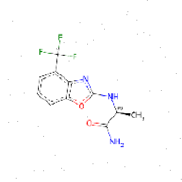 C[C@H](Nc1nc2c(C(F)(F)F)cccc2o1)C(N)=O